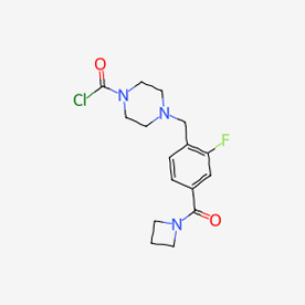 O=C(Cl)N1CCN(Cc2ccc(C(=O)N3CCC3)cc2F)CC1